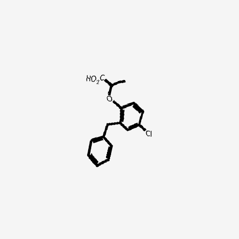 CC(Oc1ccc(Cl)cc1Cc1ccccc1)C(=O)O